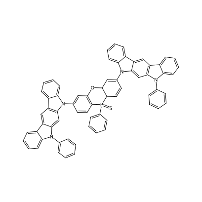 S=P1(c2ccccc2)c2ccc(-n3c4ccccc4c4cc5c6ccccc6n(-c6ccccc6)c5cc43)cc2OC2C=C(n3c4ccccc4c4cc5c6ccccc6n(-c6ccccc6)c5cc43)C=CC21